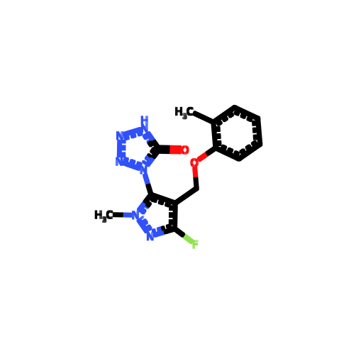 Cc1ccccc1OCc1c(F)nn(C)c1-n1nn[nH]c1=O